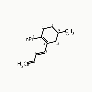 C=CC=CC1=C(CCC)CCC(C)C1